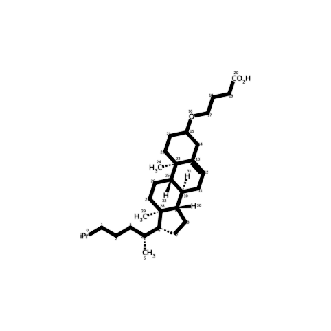 CC(C)CCC[C@@H](C)[C@H]1CC[C@H]2[C@@H]3CC=C4CC(OCCCC(=O)O)CC[C@]4(C)[C@H]3CC[C@]12C